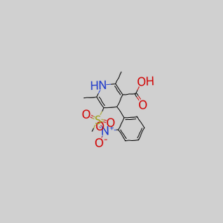 CC1=C(C(=O)O)C(c2ccccc2[N+](=O)[O-])C(S(C)(=O)=O)=C(C)N1